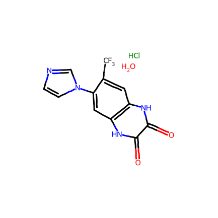 Cl.O.O=c1[nH]c2cc(-n3ccnc3)c(C(F)(F)F)cc2[nH]c1=O